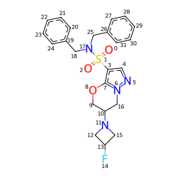 O=S(=O)(c1cnn2c1OCC(N1CC(F)C1)C2)N(Cc1ccccc1)Cc1ccccc1